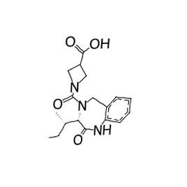 CC[C@H](C)[C@H]1C(=O)Nc2ccccc2CN1C(=O)N1CC(C(=O)O)C1